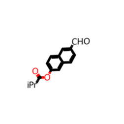 CC(C)C(=O)Oc1ccc2cc(C=O)ccc2c1